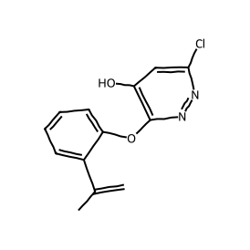 C=C(C)c1ccccc1Oc1nnc(Cl)cc1O